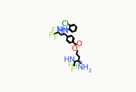 N=C(/C=C(\Nc1ccccc1Cl)c1ccc(C(=O)OCCC/C(=C/N)C(=N)C(F)(F)F)cc1)C(F)(F)F